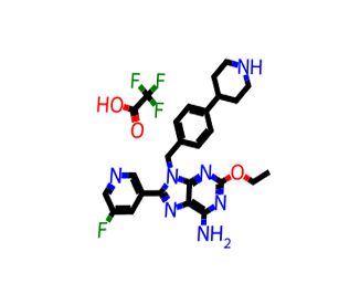 CCOc1nc(N)c2nc(-c3cncc(F)c3)n(Cc3ccc(C4CCNCC4)cc3)c2n1.O=C(O)C(F)(F)F